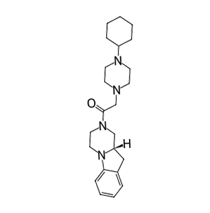 O=C(CN1CCN(C2CCCCC2)CC1)N1CCN2c3ccccc3C[C@H]2C1